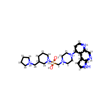 O=S(=O)(CN1CCN(c2ccnc3cnc4[nH]ccc4c23)CC1)N1CCCC(CN2CCCC2)C1